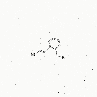 N#CC=Cc1ccccc1CBr